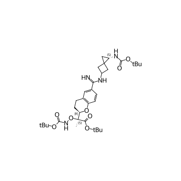 CC(C)(C)OC(=O)NO[C@](C)(C(=O)OC(C)(C)C)[C@H]1CCc2cc(C(=N)NC3CC4(C3)C[C@@H]4NC(=O)OC(C)(C)C)ccc2O1